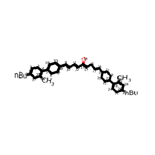 CCCCC1CCC(C2CCC(CCCCC(=O)CCCCC3CCC(C4CCC(CCCC)CC4C)CC3)CC2)C(C)C1